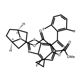 COC(=O)c1cc(F)c2nc(N3[C@@H]4CC[C@H]3CC(OC(=O)c3c(-c5c(F)cccc5F)noc3C3CC3)C4)sc2c1